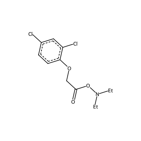 CCN(CC)OC(=O)COc1ccc(Cl)cc1Cl